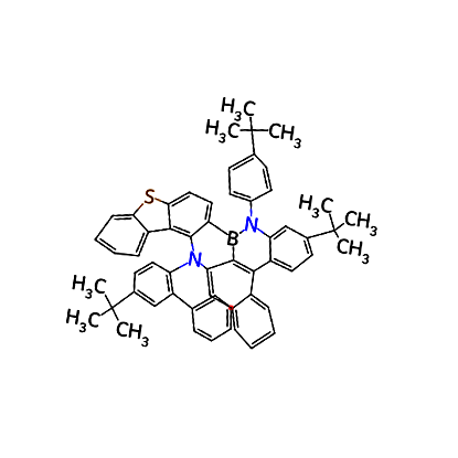 CC(C)(C)c1ccc(N2B3c4ccc5sc6ccccc6c5c4N(c4ccc(C(C)(C)C)cc4-c4ccccc4)c4cc5ccccc5c(c43)-c3ccc(C(C)(C)C)cc32)cc1